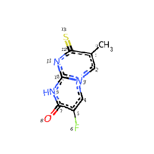 Cc1cn2cc(F)c(=O)[nH]c2nc1=S